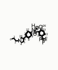 CCCN1CCC(c2ccc(NS(=O)(=O)c3cc(C(F)(F)F)ccc3OC)cc2)C1